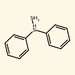 [SiH3][SiH](c1ccccc1)c1ccccc1